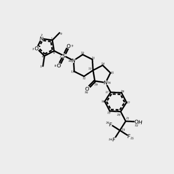 Cc1noc(C)c1S(=O)(=O)N1CCC2(CCN(c3ccc(C(O)C(F)(F)F)cc3)C2=O)CC1